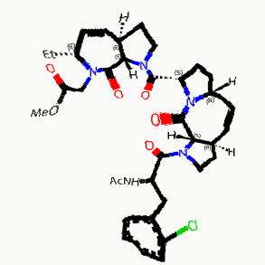 CC[C@@H]1C=C[C@H]2CCN(C(=O)[C@@H]3CC[C@@H]4C=C[C@H]5CCN(C(=O)C(Cc6ccccc6Cl)NC(C)=O)[C@@H]5C(=O)N43)[C@@H]2C(=O)N1CC(=O)OC